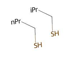 CC(C)CS.CCCCS